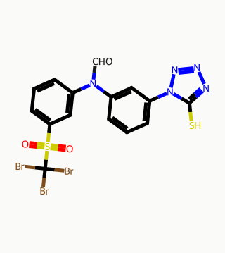 O=CN(c1cccc(-n2nnnc2S)c1)c1cccc(S(=O)(=O)C(Br)(Br)Br)c1